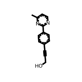 Cc1ccnc(-c2ccc(C#CCO)cc2)n1